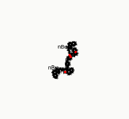 C=C(/C=C/C=C1/N(CCCC)c2ccc3ccccc3c2C1(C)C)C(C)(Cc1ccc(Oc2ccc(CC3(C)C(/C=C/C=C4/N(CCCC)c5ccc6ccccc6c5C4(C)C)=[N+](C)c4ccc5ccccc5c43)cc2)cc1)c1c(C)ccc2ccccc12